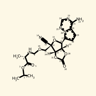 CC(C)OC(=O)[C@H](C)NCOC[C@@]1(C#N)O[C@@H](c2ccc3c(N)ncnn23)[C@@H]2OC(=O)O[C@@H]21